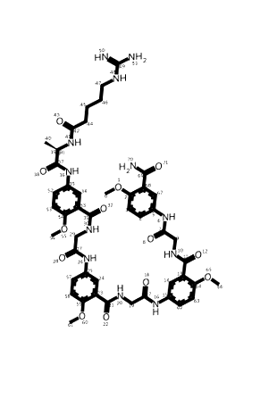 COc1ccc(NC(=O)CNC(=O)c2cc(NC(=O)CNC(=O)c3cc(NC(=O)CNC(=O)c4cc(NC(=O)[C@@H](C)NC(=O)CCCCNC(=N)N)ccc4OC)ccc3OC)ccc2OC)cc1C(N)=O